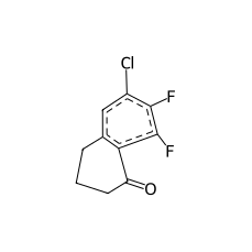 O=C1CCCc2cc(Cl)c(F)c(F)c21